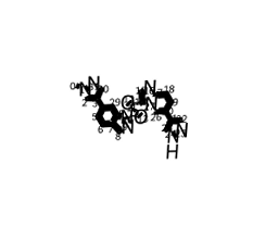 Cn1cc(-c2ccc3cnn(S(=O)(=O)c4cnc5ccc(-c6cn[nH]c6)cn45)c3c2)cn1